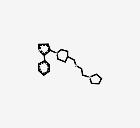 c1ccc(-c2sccc2N2CCC(COCCN3CCCC3)CC2)cc1